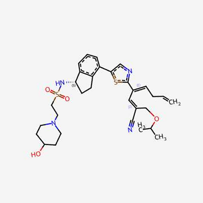 C=CC/C=C(\C=C(\C#N)COC(C)C)c1ncc(-c2cccc3c2CC[C@@H]3NS(=O)(=O)CCN2CCC(O)CC2)s1